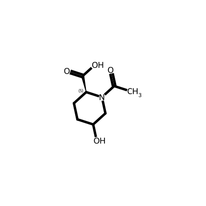 CC(=O)N1CC(O)CC[C@H]1C(=O)O